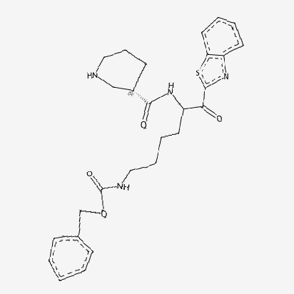 O=C(NCCCCC(NC(=O)[C@H]1CCCNC1)C(=O)c1nc2ccccc2s1)OCc1ccccc1